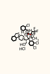 CN(CC(c1ccc(Cl)c(Cl)c1)([C@@H](CO)N1CCC2(CC1)SCc1ccccc12)N(C)C(=O)C(=O)Nc1ccccc1Cl)C(=O)CC(F)(F)F.Cl